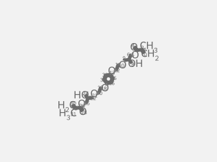 C=C(C)C(=O)OCC(O)COCCOc1ccc(OCCOCC(O)COC(=O)C(=C)C)cc1